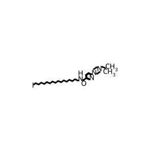 CC(C)CN1CCN(c2ccc(C(=O)NCCCCCCCCCCCCCCCCI)cn2)CC1